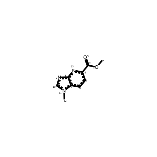 COC(=O)c1ccc2c(ncn2C)n1